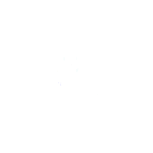 FC(F)(F)c1s[c]nc1-c1ccc(Cl)cc1